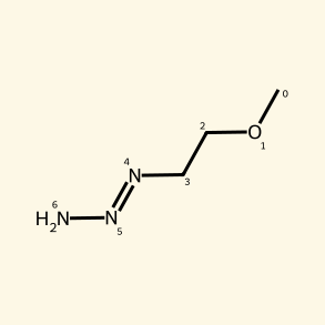 COCCN=NN